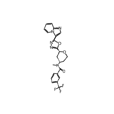 CN(C(=O)c1cccc(C(F)(F)F)c1)[C@@H]1CCO[C@H](c2nnc(-c3cnc4ccccn34)o2)C1